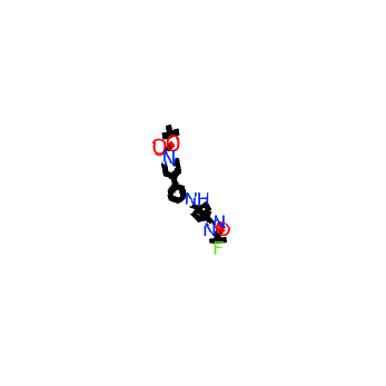 CC(C)(C)OC(=O)N1CC=C(c2cccc(NCC34CCC(c5noc(C(C)(C)F)n5)=C(C3)C4)c2)CC1